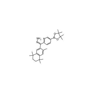 Cc1cc2c(cc1/C(=N/N)c1ccc(B3OC(C)(C)C(C)(C)O3)cn1)C(C)(C)CCC2(C)C